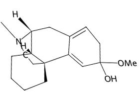 COC1(O)C=C2C(=CC1)C[C@@H]1[C@H]3CCCC[C@]23CCN1C